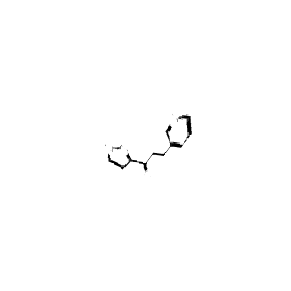 O=C(CCc1cccnc1)c1cc[nH]n1